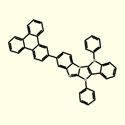 c1ccc(-n2c3c4ccccc4n(-c4ccccc4)c3n3c4ccc(-c5ccc6c7ccccc7c7ccccc7c6c5)cc4nc23)cc1